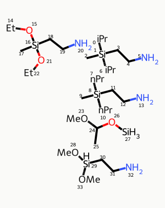 CC(C)[Si](C)(CCN)C(C)C.CCC[Si](C)(CCC)CCN.CCO[Si](C)(CCN)OCC.COC(C)O[SiH3].CO[SiH](CCN)OC